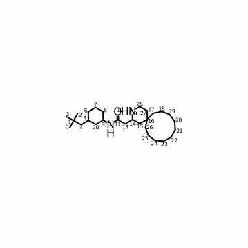 CC(C)(C)CC1CCCC(NC(=O)CC2CC3(CCCCCCCCCC3)CCN2)C1